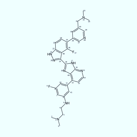 CN(C)CCNc1cc(F)cc(-c2ccnc3[nH]c(-c4n[nH]c5ccc(-c6cncc(CN(C)C)c6)c(F)c45)nc23)c1